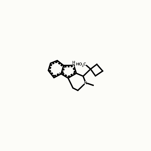 CN1CCc2c([nH]c3ccccc23)C1C1(C(=O)O)CCC1